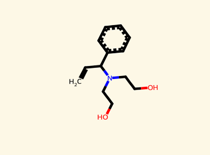 C=CC(c1ccccc1)N(CCO)CCO